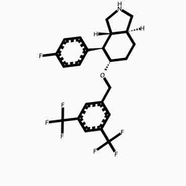 Fc1ccc([C@H]2[C@@H]3CNC[C@H]3CC[C@@H]2OCc2cc(C(F)(F)F)cc(C(F)(F)F)c2)cc1